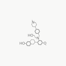 COc1ccc(C2CCc3cc(O)ccc3C2)c(N(CCO)Cc2ccc(C3CCN(C)CC3)cc2)c1